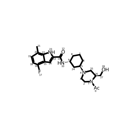 CC(=O)N1CCN([C@@H]2CCC[C@@H](NC(=O)c3cc4c(F)ccc(C)c4[nH]3)C2)C[C@H]1CO